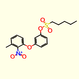 CCCCCS(=O)(=O)Oc1cccc(Oc2cccc(C)c2[N+](=O)[O-])c1